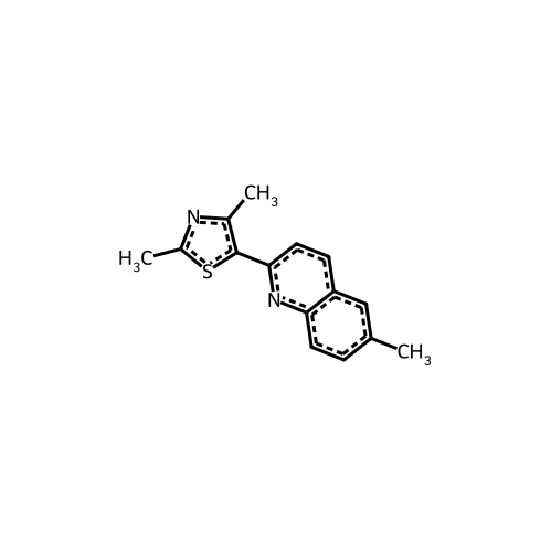 Cc1ccc2nc(-c3sc(C)nc3C)ccc2c1